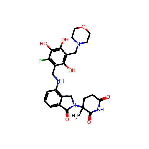 BC1(N2Cc3c(NCc4c(O)c(CN5CCOCC5)c(O)c(O)c4F)cccc3C2=O)CCC(=O)NC1=O